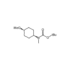 CO[C@H]1CC[C@@H](N(C)C(=O)OC(C)(C)C)CC1